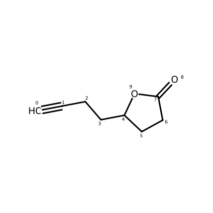 C#CCCC1CCC(=O)O1